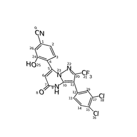 N#Cc1ccc(-c2cc(=O)[nH]c3c(-c4ccc(Cl)c(Cl)c4)c(C(F)(F)F)nn23)c(O)c1